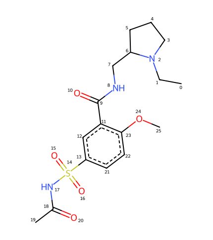 CCN1CCCC1CNC(=O)c1cc(S(=O)(=O)NC(C)=O)ccc1OC